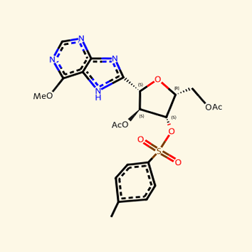 COc1ncnc2nc([C@@H]3O[C@H](COC(C)=O)[C@H](OS(=O)(=O)c4ccc(C)cc4)[C@H]3OC(C)=O)[nH]c12